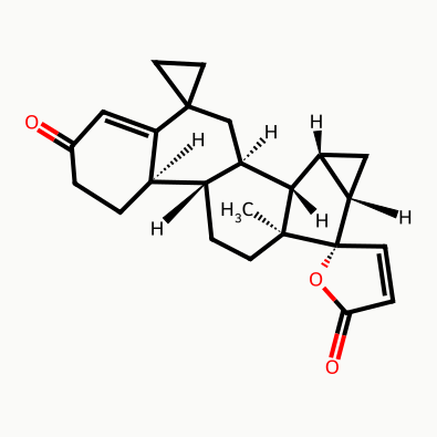 C[C@]12CC[C@H]3[C@@H](CC4(CC4)C4=CC(=O)CC[C@@H]43)[C@@H]1[C@@H]1C[C@@H]1[C@@]21C=CC(=O)O1